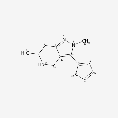 CC1Cc2nn(C)c(-c3cccs3)c2CN1